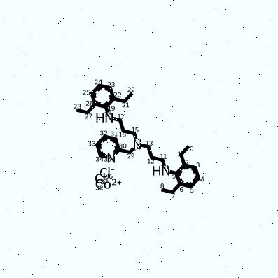 CCc1cccc(CC)c1NCCCN(CCCNc1c(CC)cccc1CC)Cc1ccccn1.[Cl-].[Cl-].[Co+2]